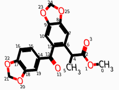 COC(=O)C(C)c1cc2c(cc1C(=O)c1ccc3c(c1)OCO3)OCO2